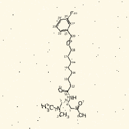 CN(C)C[C@@H](CC(=O)O)NC(=O)CCCCCCCOCc1cccc(F)c1